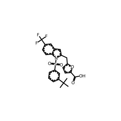 CC(C)(C)c1cccc(S(=O)(=O)n2c(Cc3ccc(C(=O)O)o3)cc3cc(C(F)(F)F)ccc32)c1